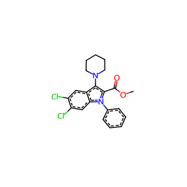 COC(=O)c1c(N2CCCCC2)c2cc(Cl)c(Cl)cc2n1-c1ccccc1